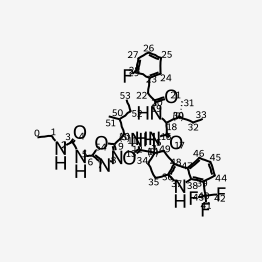 CCNC(=O)Nc1nnc([C@@H](NC(=O)[C@@]2(NC(=O)C(NC(=O)Cc3ccccc3F)[C@H](C)CC)CCc3[nH]c4c(C(F)(F)F)cccc4c3C2)C(C)CC)o1